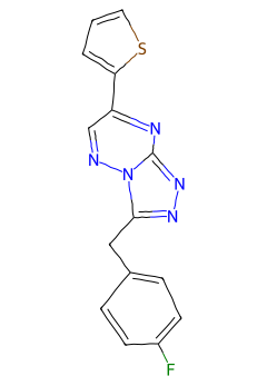 Fc1ccc(Cc2nnc3nc(-c4cccs4)cnn23)cc1